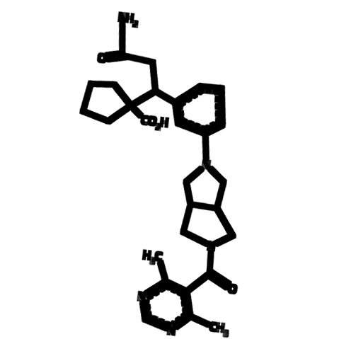 Cc1ncnc(C)c1C(=O)N1CC2CN(c3cccc(C(CC(N)=O)C4(C(=O)O)CCCC4)c3)CC2C1